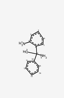 Nc1ccccc1C(N)(O)c1ccccc1